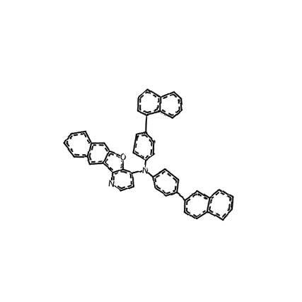 c1ccc2cc(-c3ccc(N(c4ccc(-c5cccc6ccccc56)cc4)c4ccnc5c4oc4cc6ccccc6cc45)cc3)ccc2c1